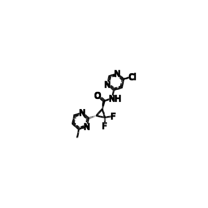 Cc1ccnc([C@@H]2[C@@H](C(=O)Nc3cc(Cl)ncn3)C2(F)F)n1